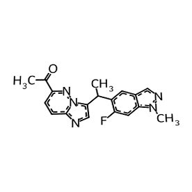 CC(=O)c1ccc2ncc(C(C)c3cc4cnn(C)c4cc3F)n2n1